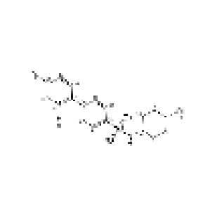 O=S(=O)(N[C@H]1CC[C@@H](O)CC1)c1ccc(-c2ccc(F)cc2F)cc1